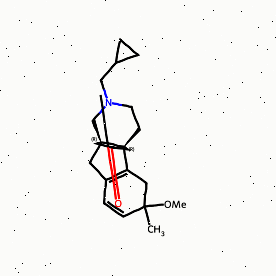 COC1(C)C=CC2=C(C1)[C@]13CCN(CC4CC4)C[C@]1(CCC(=O)C3)C2